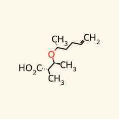 C=CCC[C@@H](C)O[C@@H](C)[C@H](C)C(=O)O